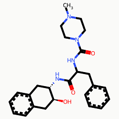 CN1CCN(C(=O)NC(Cc2ccccc2)C(=O)N[C@H]2Cc3ccccc3C[C@@H]2O)CC1